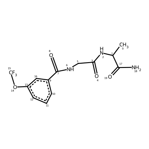 CC(NC(=O)CNC(=O)c1cccc(OC(F)(F)F)c1)C(N)=O